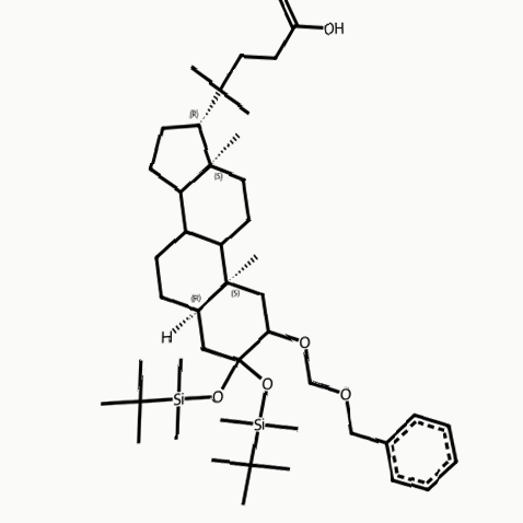 CC(C)(CCC(=O)O)[C@H]1CCC2C3CC[C@@H]4CC(O[Si](C)(C)C(C)(C)C)(O[Si](C)(C)C(C)(C)C)C(OCOCc5ccccc5)C[C@]4(C)C3CC[C@@]21C